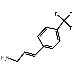 NC/C=C/c1ccc(C(F)(F)F)cc1